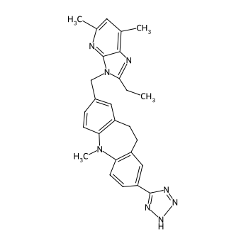 CCc1nc2c(C)cc(C)nc2n1Cc1ccc2c(c1)CCc1cc(-c3nn[nH]n3)ccc1N2C